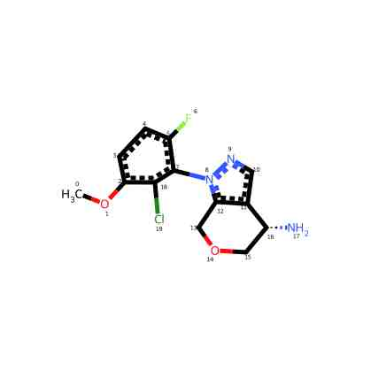 COc1ccc(F)c(-n2ncc3c2COC[C@H]3N)c1Cl